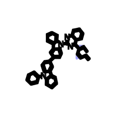 C=C/C=C\C(=C/C)C1=NC(n2c3ccccc3c3cc(-c4ccc5c(c4)c4ccccc4n5-c4ccccc4)ccc32)=NC2C=CC=CC12